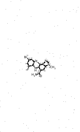 Cn1cnc2c(F)c(Nc3ccc(Br)cc3F)c(C(N)=O)cc21